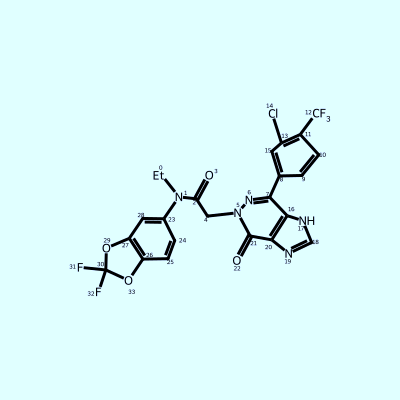 CCN(C(=O)Cn1nc(-c2ccc(C(F)(F)F)c(Cl)c2)c2[nH]cnc2c1=O)c1ccc2c(c1)OC(F)(F)O2